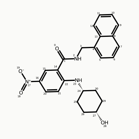 O=C(NCc1cccc2ccccc12)c1cc([N+](=O)[O-])ccc1N[C@H]1CC[C@@H](O)CC1